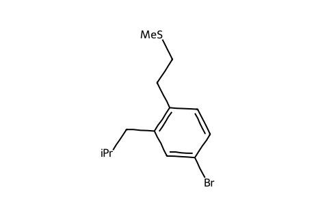 CSCCc1ccc(Br)cc1CC(C)C